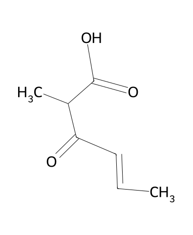 CC=CC(=O)C(C)C(=O)O